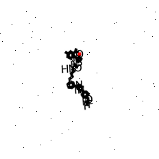 Cc1ccc(N2C(=O)CSC2=NC(=O)NCCCCc2cccc(-c3ncn(-c4ccc(OC(F)(F)F)cc4)n3)c2)c(C(C)C)c1